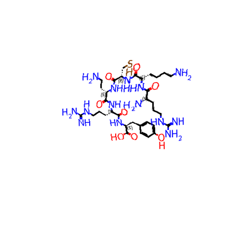 N=C(N)NCCC[C@H](NC(=O)[C@H](CCN)NC(=O)[C@H](CS)NC(=O)[C@H](CCCCN)NC(=O)[C@@H](N)CCCNC(=N)N)C(=O)N[C@@H](Cc1ccc(O)cc1)C(=O)O